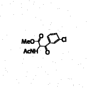 COC(=O)C(NC(C)=O)C(=O)c1cccc(Cl)c1